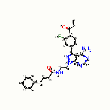 C=CC(=O)c1ccc(-c2nn(CCNC(=O)C=CCc3ccccc3)c3ncnc(N)c23)cc1F